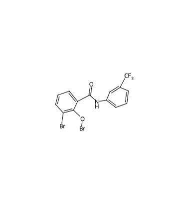 O=C(Nc1cccc(C(F)(F)F)c1)c1cccc(Br)c1OBr